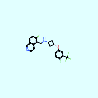 Fc1ccc(O[C@H]2C[C@H](NCc3c(F)ccc4cnccc34)C2)cc1C(F)(F)F